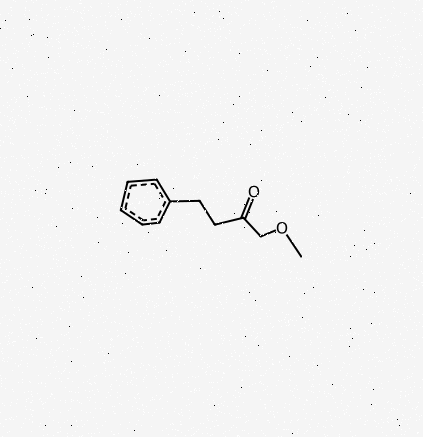 COCC(=O)CCc1ccccc1